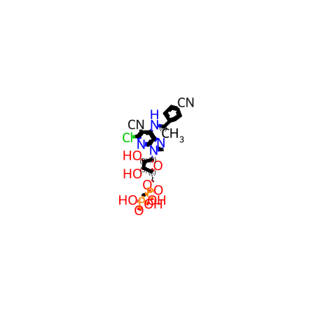 C[C@@H](Nc1c(C#N)c(Cl)nc2c1ncn2[C@@H]1O[C@H](COP(=O)(O)CP(=O)(O)O)[C@@H](O)[C@H]1O)c1ccc(C#N)cc1